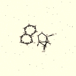 CC1(C)[C@@H]2CC[C@@]1(C)C(=O)C2.c1ccc2ccccc2c1